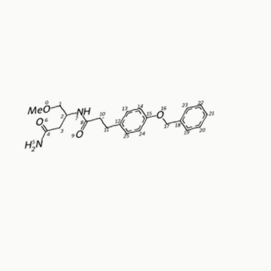 COCC(CC(N)=O)NC(=O)[CH]Cc1ccc(OCc2ccccc2)cc1